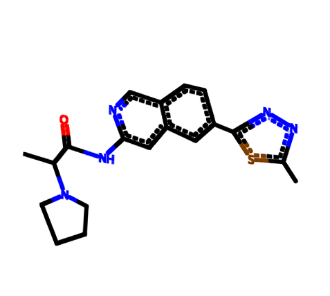 Cc1nnc(-c2ccc3cnc(NC(=O)C(C)N4CCCC4)cc3c2)s1